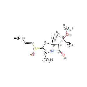 CC(=O)N/C=C/[S+]([O-])C1=C(C(=O)O)N2C(=O)[C@@H](C(C)(C)OS(=O)(=O)O)[C@H]2C1